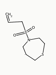 C=CCS(=O)(=O)N1C[CH]CSCC1